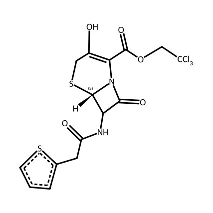 O=C(Cc1cccs1)NC1C(=O)N2C(C(=O)OCC(Cl)(Cl)Cl)=C(O)CS[C@@H]12